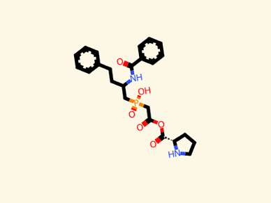 O=C(CP(=O)(O)CC(CCc1ccccc1)NC(=O)c1ccccc1)OC(=O)[C@@H]1CCCN1